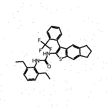 CCc1cccc(CC)c1NC(=O)Nc1sc2cc3c(cc2c1-c1ccccc1C(F)(F)F)CCC3